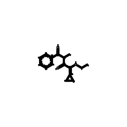 CCOC(C(=O)C(C)C(=O)c1ccccc1)=C1CC1